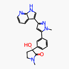 CN1CC[C@@](O)(c2cccc(-c3cc(-c4c[nH]c5ncccc45)nn3C)c2)C1=O